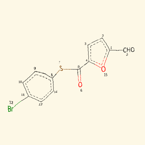 O=Cc1ccc(C(=O)Sc2ccc(Br)cc2)o1